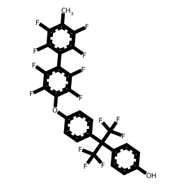 Cc1c(F)c(F)c(-c2c(F)c(F)c(Oc3ccc(C(c4ccc(O)cc4)(C(F)(F)F)C(F)(F)F)cc3)c(F)c2F)c(F)c1F